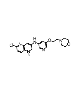 CN1CC(Nc2cncc(OCCN3CCOCC3)c2)=Cc2nc(Cl)ccc21